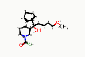 COCCCC[C@@](O)(c1ccccc1)C1CCCN(C(=O)Cl)C1